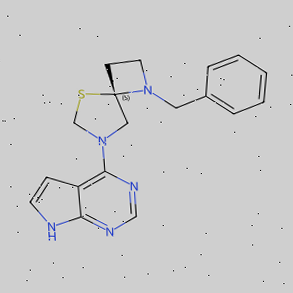 c1ccc(CN2CC[C@]23CN(c2ncnc4[nH]ccc24)CS3)cc1